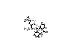 N=C(N)C1CN([N+](=O)[O-])CCN1CC=C1c2ccccc2NC(=O)c2ccccc21